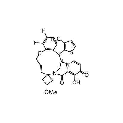 COC1CC2(/C=C/COc3c(ccc(F)c3F)C(c3sccc3C)N3CN2C(=O)c2c(O)c(=O)ccn23)C1